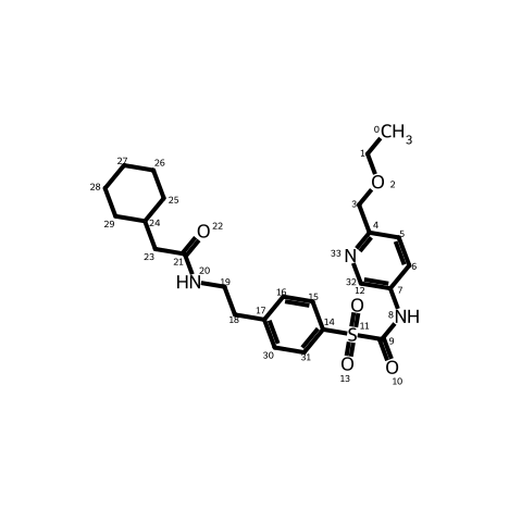 CCOCc1ccc(NC(=O)S(=O)(=O)c2ccc(CCNC(=O)CC3CCCCC3)cc2)cn1